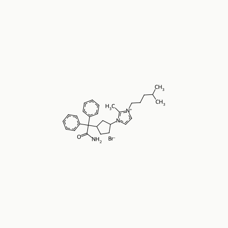 Cc1n(C2CCC(C(C(N)=O)(c3ccccc3)c3ccccc3)C2)cc[n+]1CCCC(C)C.[Br-]